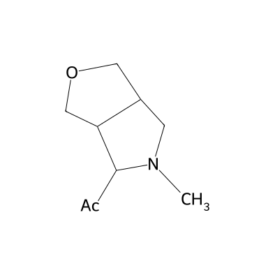 CC(=O)C1C2COCC2CN1C